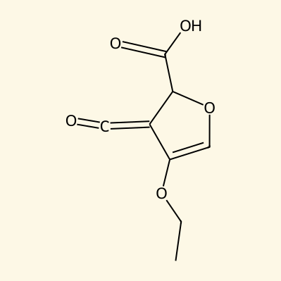 CCOC1=COC(C(=O)O)C1=C=O